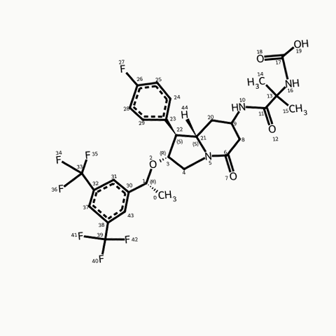 C[C@@H](O[C@H]1CN2C(=O)CC(NC(=O)C(C)(C)NC(=O)O)C[C@H]2[C@@H]1c1ccc(F)cc1)c1cc(C(F)(F)F)cc(C(F)(F)F)c1